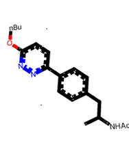 CCCCOc1ccc(-c2ccc(CC(C)NC(C)=O)cc2)nn1